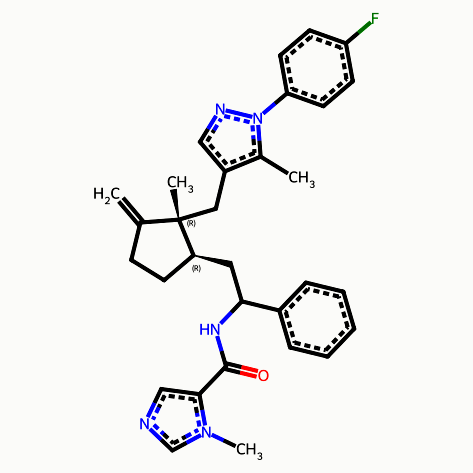 C=C1CC[C@H](CC(NC(=O)c2cncn2C)c2ccccc2)[C@@]1(C)Cc1cnn(-c2ccc(F)cc2)c1C